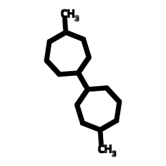 CC1CCCC(C2CCCC(C)CC2)CC1